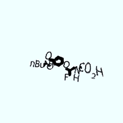 CCCCn1oc2cc(OC/C(=C\F)CNC(=O)O)ccc2c1=O